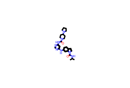 CC(C)NC(=O)n1ccc2ccc(Nc3cc(NC(=O)N4CCC(N5CCCC5)CC4)ncn3)cc21